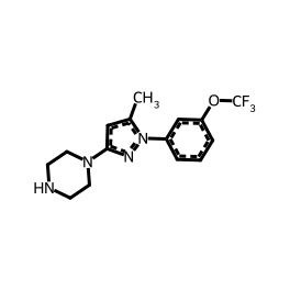 Cc1cc(N2CCNCC2)nn1-c1cccc(OC(F)(F)F)c1